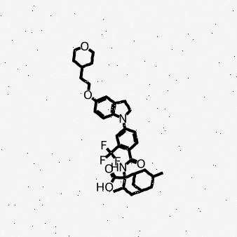 CC1CC2CC(C)C(NC(=O)c3ccc(N4CCc5cc(OCCC6CCOCC6)ccc54)cc3C(F)(F)F)(C(=O)O)C(C1)C2